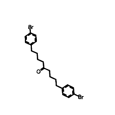 O=C(CCCCc1ccc(Br)cc1)CCCCc1ccc(Br)cc1